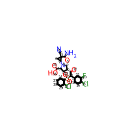 N#CC1(C(N)=O)CC1N1C[C@H](C(=O)C(c2ccc(Cl)c(F)c2)S(=O)(=O)c2ccccc2Cl)C[C@H]1C(=O)O